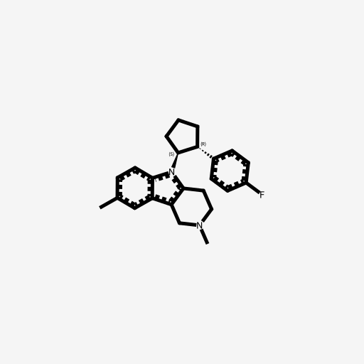 Cc1ccc2c(c1)c1c(n2[C@H]2CCC[C@@H]2c2ccc(F)cc2)CCN(C)C1